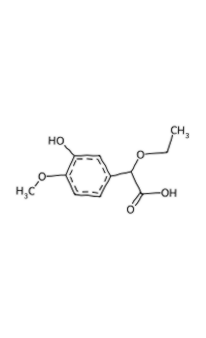 CCOC(C(=O)O)c1ccc(OC)c(O)c1